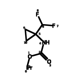 CC(C)OC(=O)NC1(C(F)F)CC1